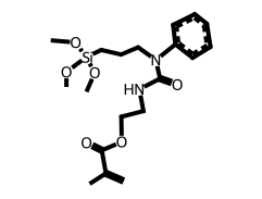 C=C(C)C(=O)OCCNC(=O)N(CCC[Si](OC)(OC)OC)c1ccccc1